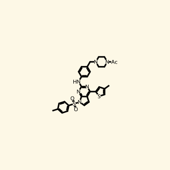 CC(=O)N1CCN(Cc2ccc(Nc3nc(-c4cc(C)cs4)c4ccn(S(=O)(=O)c5ccc(C)cc5)c4n3)cc2)CC1